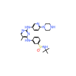 Cc1cnc(Nc2ccc(N3CCNCC3)nc2)nc1Nc1cccc([S+]([O-])NC(C)(C)C)c1